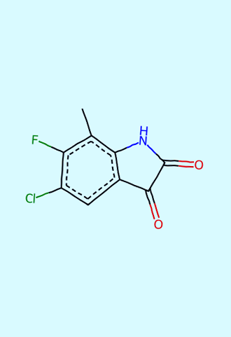 Cc1c(F)c(Cl)cc2c1NC(=O)C2=O